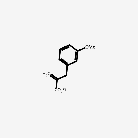 C=C(Cc1cccc(OC)c1)C(=O)OCC